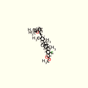 CCC(CC)(c1ccc(C#CC2(O[Si](C)(C)C)CCCC2)c(C)c1)c1ccc(-c2ccc(CC(=O)OC)c(F)c2)c(C)c1